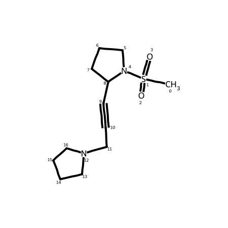 CS(=O)(=O)N1CCCC1C#CCN1CCCC1